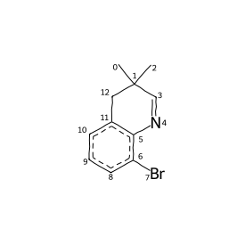 CC1(C)C=Nc2c(Br)cccc2C1